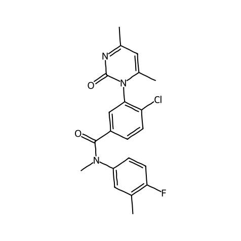 Cc1cc(C)n(-c2cc(C(=O)N(C)c3ccc(F)c(C)c3)ccc2Cl)c(=O)n1